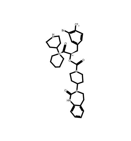 O=C(O[C@H](Cc1ccc(C(F)(F)F)c(Br)c1)C(=O)[N+]1(C2CCNCC2)CCCCC1)N1CCC(N2CCc3ccccc3NC2=O)CC1